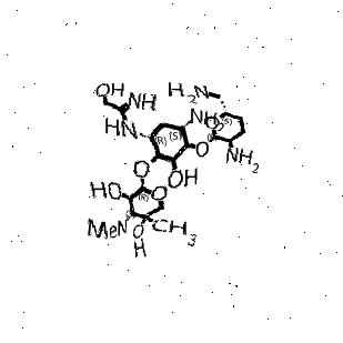 CN[C@@H]1C(O)[C@@H](OC2C(O)C(O[C@H]3O[C@H](CN)CCC3N)[C@@H](N)C[C@H]2NC(=N)CO)OCC1(C)O